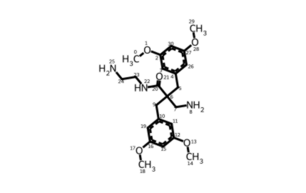 COc1cc(CC(CN)(Cc2cc(OC)cc(OC)c2)C(=O)NCCN)cc(OC)c1